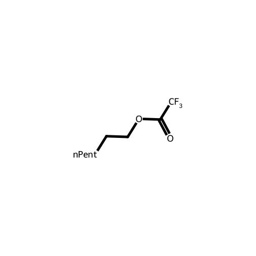 CCCCCCCOC(=O)C(F)(F)F